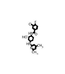 Cc1cc(C)nc(NC2CCC(NC(=O)c3ccc(F)c(Cl)c3)CC2)c1.Cl